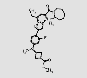 CCc1cc(C(=O)N2CCCCC[C@H]2C)nc2cc(-c3ccc(N(C)C4CC(C(=O)OC)C4)cc3F)nn12